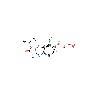 CC(C)C1C(=O)NC2=Nc3ccc(OCCO)c(Cl)c3CN21